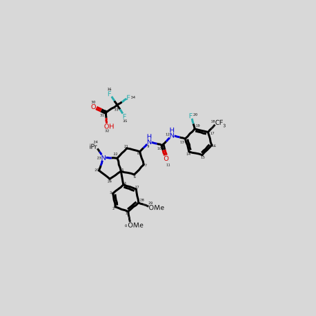 COc1ccc(C23CCC(NC(=O)Nc4cccc(C(F)(F)F)c4F)CC2N(C(C)C)CC3)cc1OC.O=C(O)C(F)(F)F